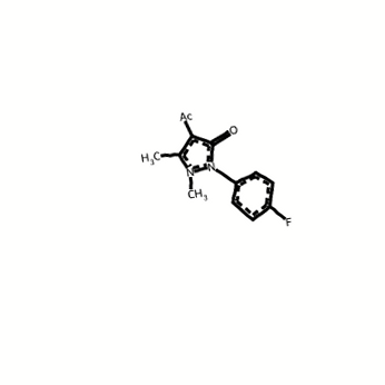 CC(=O)c1c(C)n(C)n(-c2ccc(F)cc2)c1=O